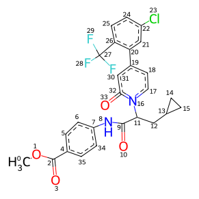 COC(=O)c1ccc(NC(=O)C(CC2CC2)n2ccc(-c3cc(Cl)ccc3C(F)(F)F)cc2=O)cc1